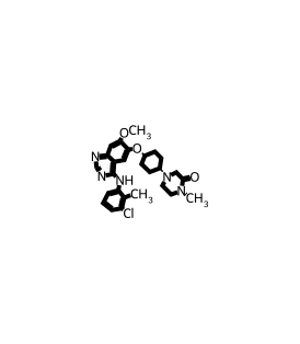 COc1cc2ncnc(Nc3cccc(Cl)c3C)c2cc1O[C@H]1CC[C@@H](N2CCN(C)C(=O)C2)CC1